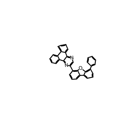 c1ccc(-c2cccc3c2oc2c(-c4cnc5c6ccccc6c6ccccc6c5n4)cccc23)cc1